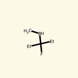 CBC(F)(CC)CC